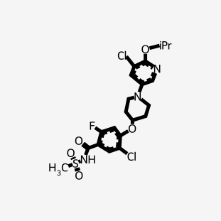 CC(C)Oc1ncc(N2CCC(Oc3cc(F)c(C(=O)NS(C)(=O)=O)cc3Cl)CC2)cc1Cl